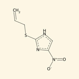 C=CCSc1nc([N+](=O)[O-])c[nH]1